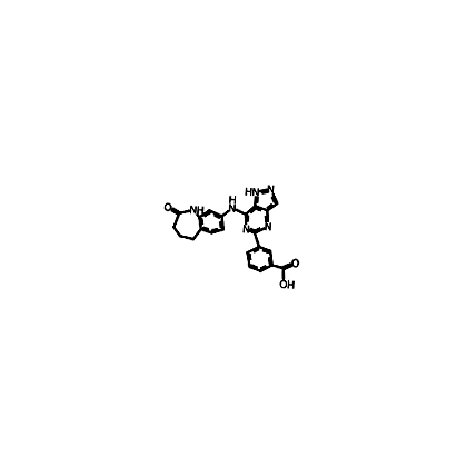 O=C1CCCc2ccc(Nc3nc(-c4cccc(C(=O)O)c4)nc4cn[nH]c34)cc2N1